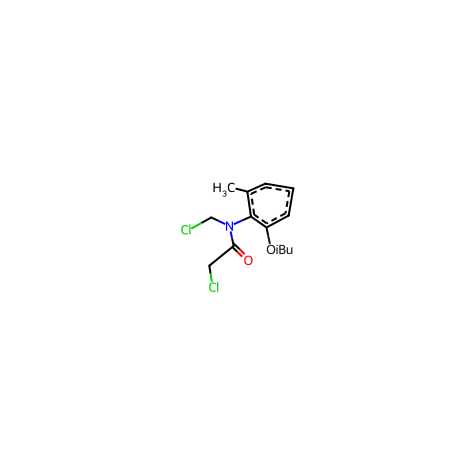 Cc1cccc(OCC(C)C)c1N(CCl)C(=O)CCl